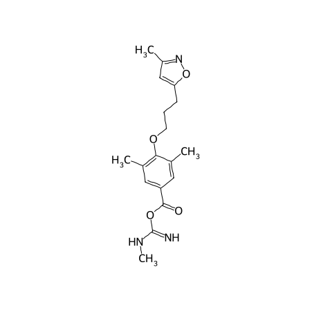 CNC(=N)OC(=O)c1cc(C)c(OCCCc2cc(C)no2)c(C)c1